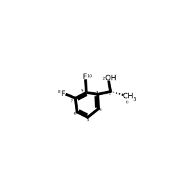 C[C@@H](O)c1cccc(F)c1F